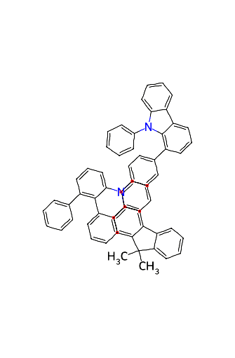 CC1(C)c2ccccc2-c2cc(N(c3ccc(-c4cccc5c6ccccc6n(-c6ccccc6)c45)cc3)c3cccc(-c4ccccc4)c3-c3ccccc3-c3ccccc3)ccc21